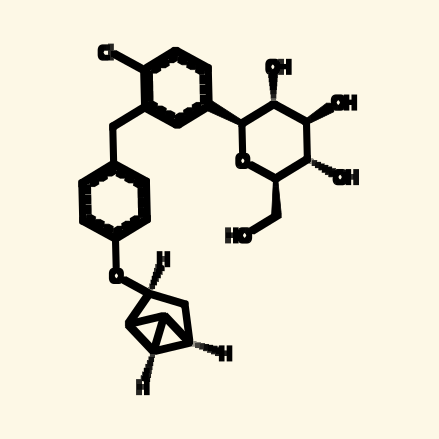 OC[C@H]1O[C@@H](c2ccc(Cl)c(Cc3ccc(O[C@H]4C[C@@H]5C6C4[C@@H]65)cc3)c2)[C@H](O)[C@@H](O)[C@@H]1O